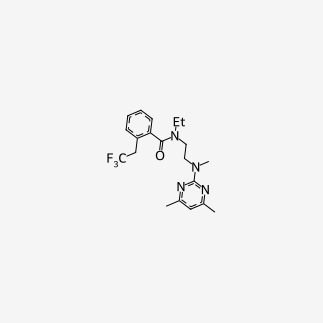 CCN(CCN(C)c1nc(C)cc(C)n1)C(=O)c1ccccc1CC(F)(F)F